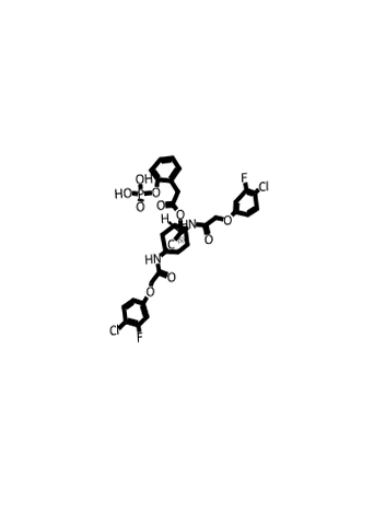 O=C(COc1ccc(Cl)c(F)c1)NC12CCC(NC(=O)COc3ccc(Cl)c(F)c3)(CC1)[C@@H](OC(=O)Cc1ccccc1OP(=O)(O)O)C2